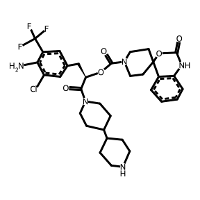 Nc1c(Cl)cc(C[C@@H](OC(=O)N2CCC3(CC2)OC(=O)Nc2ccccc23)C(=O)N2CCC(C3CCNCC3)CC2)cc1C(F)(F)F